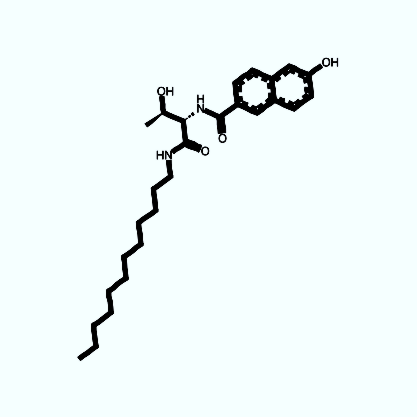 CCCCCCCCCCCCNC(=O)[C@@H](NC(=O)c1ccc2cc(O)ccc2c1)[C@@H](C)O